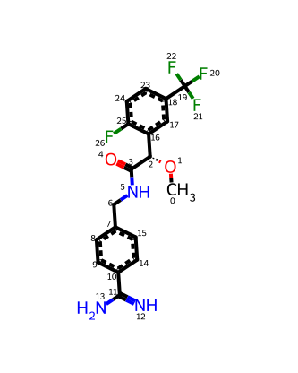 CO[C@H](C(=O)NCc1ccc(C(=N)N)cc1)c1cc(C(F)(F)F)ccc1F